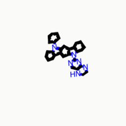 C1=Nc2nc(-n3c4ccccc4c4cc5c(cc43)c3ccccc3n5-c3ccccc3)ncc2NC1